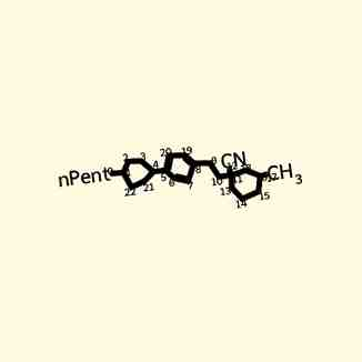 CCCCCC1CCC(c2ccc(CCC3(C#N)CCCC(C)C3)cc2)CC1